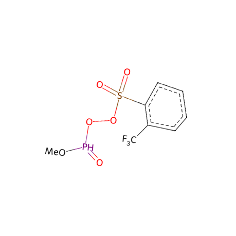 CO[PH](=O)OOS(=O)(=O)c1ccccc1C(F)(F)F